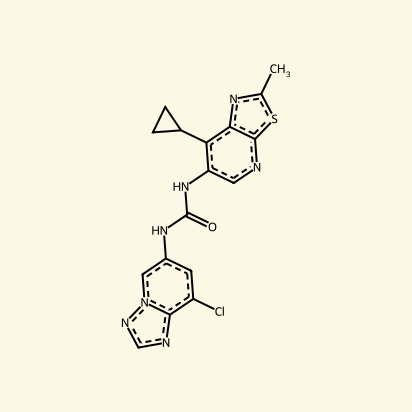 Cc1nc2c(C3CC3)c(NC(=O)Nc3cc(Cl)c4ncnn4c3)cnc2s1